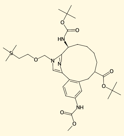 COC(=O)Nc1ccc2c(c1)CC(C(=O)OC(C)(C)C)CCCC[C@H](NC(=O)OC(C)(C)C)c1nc-2cn1COCC[Si](C)(C)C